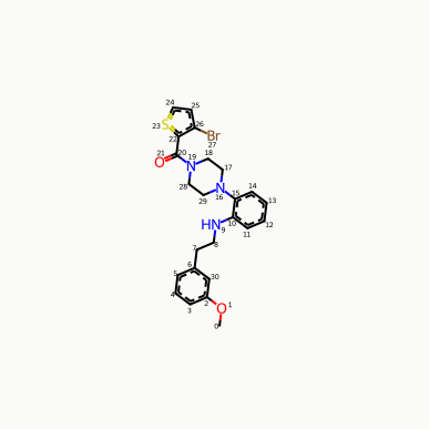 COc1cccc(CCNc2ccccc2N2CCN(C(=O)c3sccc3Br)CC2)c1